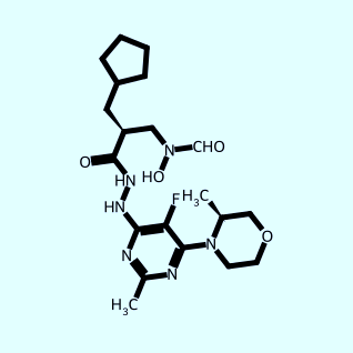 Cc1nc(NNC(=O)[C@@H](CC2CCCC2)CN(O)C=O)c(F)c(N2CCOC[C@@H]2C)n1